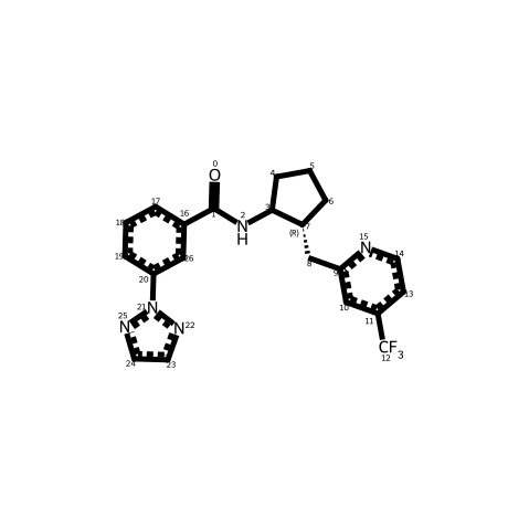 O=C(NC1CCC[C@@H]1Cc1cc(C(F)(F)F)ccn1)c1cccc(-n2nccn2)c1